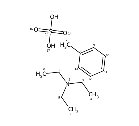 CCN(CC)CC.Cc1ccccc1.O=S(=O)(O)O